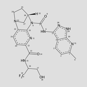 Cc1ccc2c(NC(=O)N3c4nc(C(=O)NC(CO)C(F)(F)F)ccc4N4CC[C@H]3C4)n[nH]c2n1